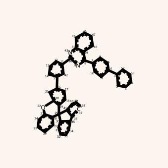 c1ccc(-c2ccc(-c3nc(-c4cccc(-c5ccc6c(c5)Oc5ccccc5C65c6ccccc6-c6ccccc65)c4)nc4ccccc34)cc2)cc1